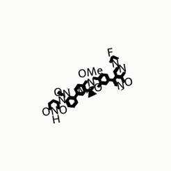 COc1cc(-c2cn(C)c(=O)c3cnc(N4CC(F)C4)cc23)cc(OC)c1CN1Cc2ccc(-c3cccc4c3n(C)c(=O)n4C3CCC(=O)NC3=O)cc2C2(CC2)C1